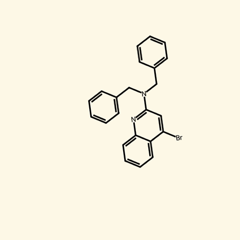 Brc1cc(N(Cc2ccccc2)Cc2ccccc2)nc2ccccc12